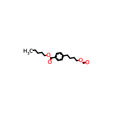 CCCCCOC(=O)c1ccc(CCCCOC=O)cc1